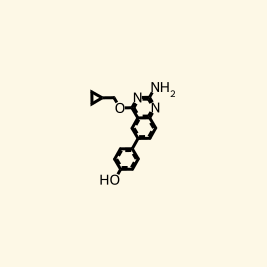 Nc1nc(OCC2CC2)c2cc(-c3ccc(O)cc3)ccc2n1